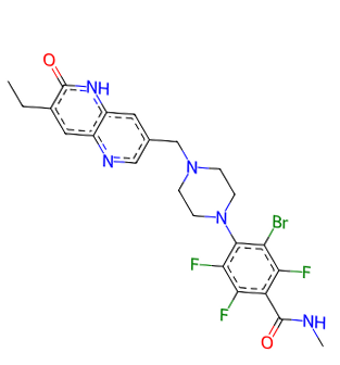 CCc1cc2ncc(CN3CCN(c4c(F)c(F)c(C(=O)NC)c(F)c4Br)CC3)cc2[nH]c1=O